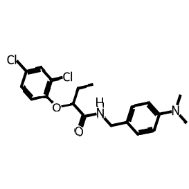 CCC(Oc1ccc(Cl)cc1Cl)C(=O)NCc1ccc(N(C)C)cc1